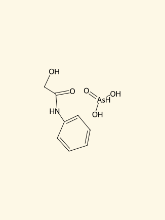 O=C(CO)Nc1ccccc1.O=[AsH](O)O